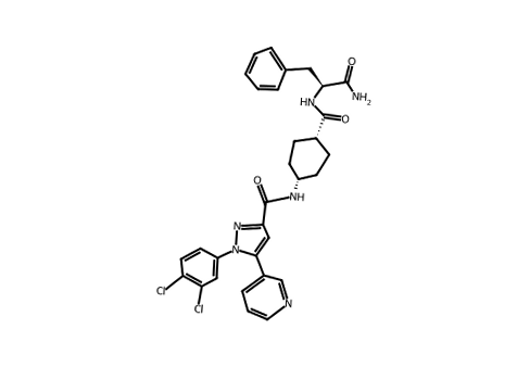 NC(=O)[C@H](Cc1ccccc1)NC(=O)[C@H]1CC[C@@H](NC(=O)c2cc(-c3cccnc3)n(-c3ccc(Cl)c(Cl)c3)n2)CC1